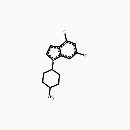 CC1CCC(n2ccc3c(Cl)cc(Cl)cc32)CC1